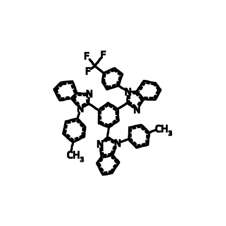 Cc1ccc(-n2c(-c3cc(-c4nc5ccccc5n4-c4ccc(C)cc4)cc(-c4nc5ccccc5n4-c4ccc(C(F)(F)F)cc4)c3)nc3ccccc32)cc1